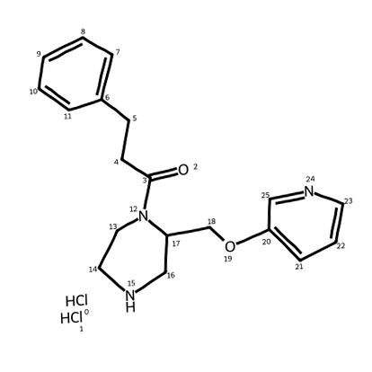 Cl.Cl.O=C(CCc1ccccc1)N1CCNCC1COc1cccnc1